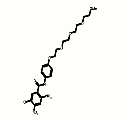 COCCOCCOCCOCCOc1ccc(NC(=O)c2cc(Cl)c([N+](=O)[O-])cc2[N+](=O)[O-])cc1